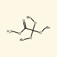 CCC(C)OC(OC(C)CC)(OC(C)CC)C(=O)O[SiH3]